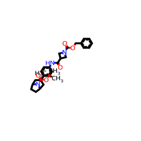 CC(C)(C)OC(=O)N1C2CCC1CC(c1ccc(NC(=O)C3CN(C(=O)OCc4ccccc4)C3)cc1)C2